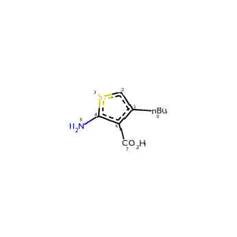 CCCCc1csc(N)c1C(=O)O